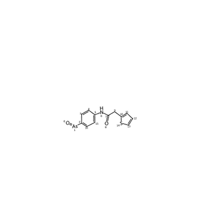 O=[As]c1ccc(NC(=O)Cc2cccs2)cc1